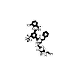 CC(C)CNC(=O)[C@@H](NC(=O)[C@H](C)NC[C@H](Cc1ccccc1)NC(=O)c1cc(C(=O)N[C@H](C)c2cccc(Cl)c2)cc(N(C)S(C)(=O)=O)c1)C(C)C